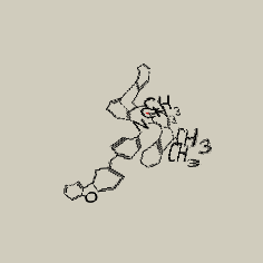 CC1(C)C2=C(CCC=C2)c2c(N(c3c#cc(-c4ccc5oc6ccccc6c5c4)cc3)c3cccc4c3C(C)(C)c3ccccc3-4)cccc21